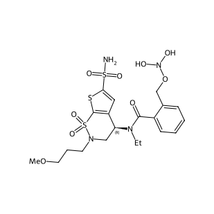 CCN(C(=O)c1ccccc1CON(O)O)[C@H]1CN(CCCOC)S(=O)(=O)c2sc(S(N)(=O)=O)cc21